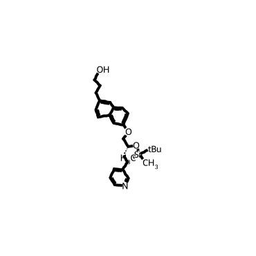 CC(C)(C)[Si](C)(C)O[C@H](CCc1cccnc1)COc1ccc2cc(CCCO)ccc2c1